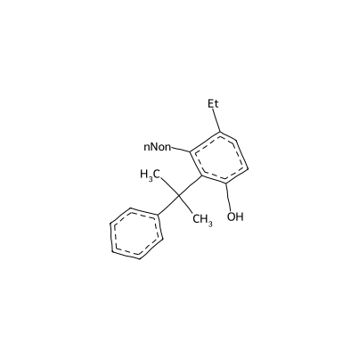 CCCCCCCCCc1c(CC)ccc(O)c1C(C)(C)c1ccccc1